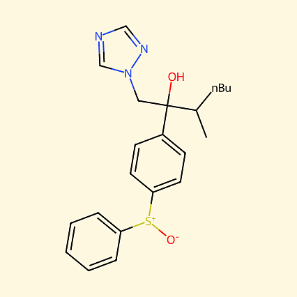 CCCCC(C)C(O)(Cn1cncn1)c1ccc([S+]([O-])c2ccccc2)cc1